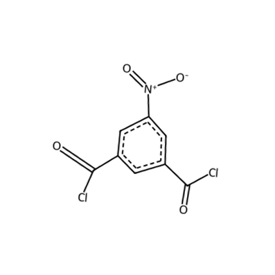 O=C(Cl)c1cc(C(=O)Cl)cc([N+](=O)[O-])c1